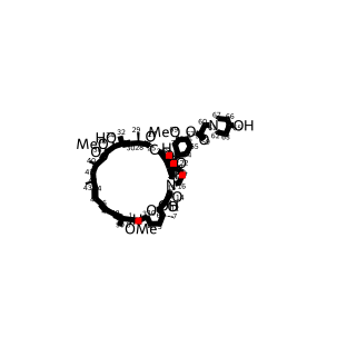 CO[C@H]1C[C@@H]2CC[C@@H](C)[C@@](O)(O2)C(=O)C(=O)N2CCCC3[C@H]2C(=O)O[C@@H](CC(=O)[C@H](C)/C=C(\C)[C@@H](O)[C@@H](OC)C(=O)[C@H](C)C[C@H](C)/C=C/C=C/C=C/1C)[C@H]3C[C@@H]1CC[C@@H](OC(=O)CN2CCC(O)CC2)[C@H](OC)C1